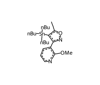 CCC[CH2][Sn]([CH2]CCC)([CH2]CCC)[c]1c(-c2cccnc2OC)noc1C